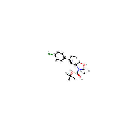 CC/C(=C\[C@H]1COC(C)(C)N1C(=O)OC(C)(C)C)c1ccc(Cl)cc1